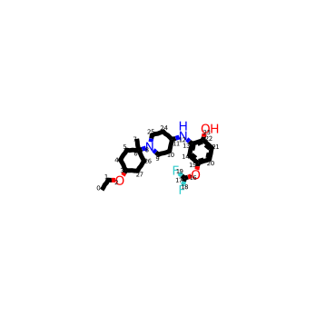 CCOC1CCC(C)(N2CCC(Nc3cc(OC(F)F)ccc3O)CC2)CC1